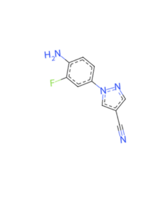 N#Cc1cnn(-c2ccc(N)c(F)c2)c1